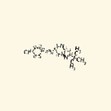 CC(C)(C)c1cc2ncc(C#Cc3ccc(Cl)cc3)cn2n1